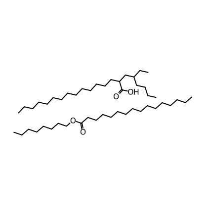 CCCCCCCCCCCCCCC(CC(CC)CCCC)C(=O)O.CCCCCCCCCCCCCCCC(=O)OCCCCCCCC